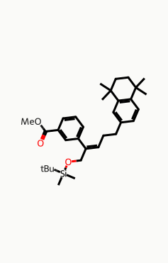 COC(=O)c1cccc(C(=CCCc2ccc3c(c2)C(C)(C)CCC3(C)C)CO[Si](C)(C)C(C)(C)C)c1